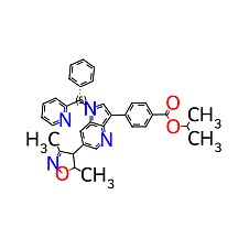 CC1=NOC(C)C1c1cnc2c(-c3ccc(C(=O)OC(C)C)cc3)cn([C@@H](c3ccccc3)c3ccccn3)c2c1